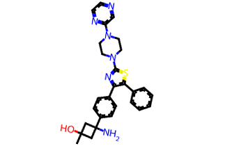 CC1(O)CC(N)(c2ccc(-c3nc(N4CCN(c5cnccn5)CC4)sc3-c3ccccc3)cc2)C1